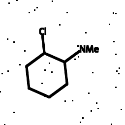 CNC1CCCCC1Cl